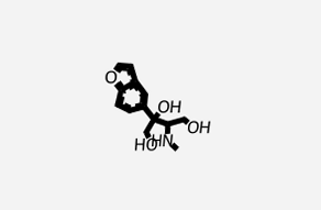 CNC(CO)C(O)(CO)c1ccc2occc2c1